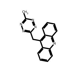 Cc1nnc(Cc2c3ccccc3nc3ccccc23)nn1